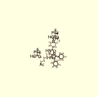 CC(=O)CCCCC[C@H](NC(=O)C1CCN(C)CC1)c1nc(-c2ccccc2)c(-c2ccccc2)[nH]1.O=C(O)C(F)(F)F.O=C(O)C(F)(F)F